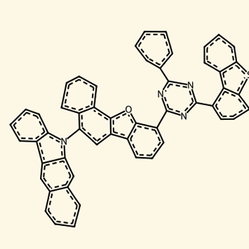 c1ccc(-c2nc(-c3cccc4c3oc3c5ccccc5c(-n5c6ccccc6c6cc7ccccc7cc65)cc43)nc(-c3cccc4sc5ccccc5c34)n2)cc1